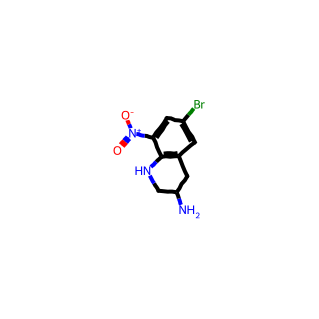 NC1CNc2c(cc(Br)cc2[N+](=O)[O-])C1